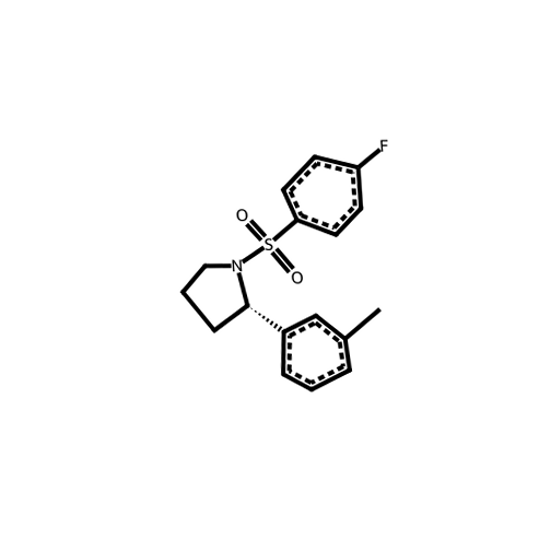 Cc1cccc([C@@H]2CCCN2S(=O)(=O)c2ccc(F)cc2)c1